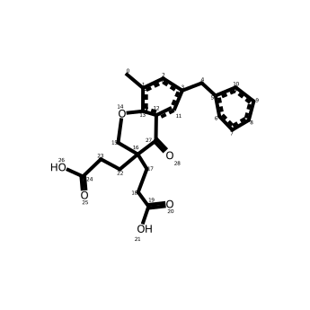 Cc1cc(Cc2ccccc2)cc2c1OCC(CCC(=O)O)(CCC(=O)O)C2=O